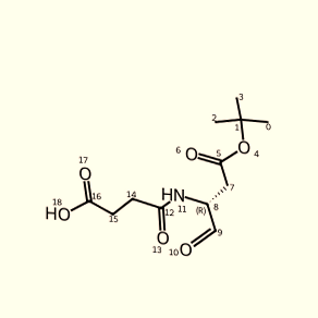 CC(C)(C)OC(=O)C[C@H](C=O)NC(=O)CCC(=O)O